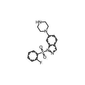 O=S(=O)(c1ccccc1F)n1ncc2ccc(N3CCNCC3)cc21